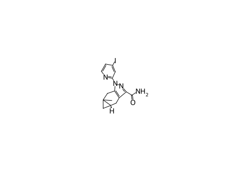 CC12Cc3c(c(C(N)=O)nn3-c3cc(I)ccn3)C[C@@H]1C2